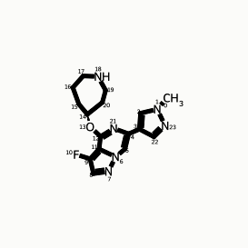 Cn1cc(-c2cn3ncc(F)c3c(O[C@@H]3CCCNCC3)n2)cn1